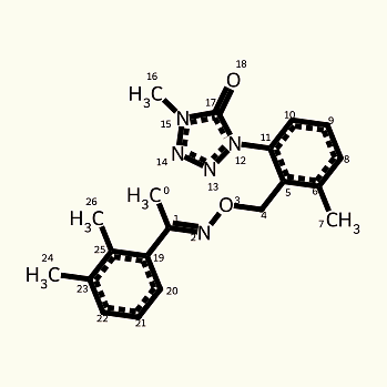 CC(=NOCc1c(C)cccc1-n1nnn(C)c1=O)c1cccc(C)c1C